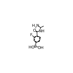 CC(N)NC(=O)c1ccc(B(O)O)cc1F